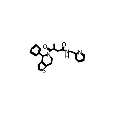 CC(CC(=O)NCc1ccccn1)C(=O)N1CCc2sccc2C1c1ccccc1